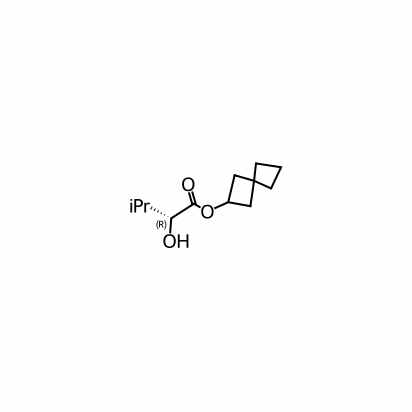 CC(C)[C@@H](O)C(=O)OC1CC2(CCC2)C1